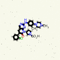 Cc1cc(Nc2ncc3cc(-c4ccccc4Cl)c(=O)n([C@H]4CCN(C(=O)O)C4)c3n2)ccc1N1CCN(C)CC1